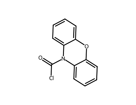 O=C(Cl)N1c2ccccc2Oc2ccccc21